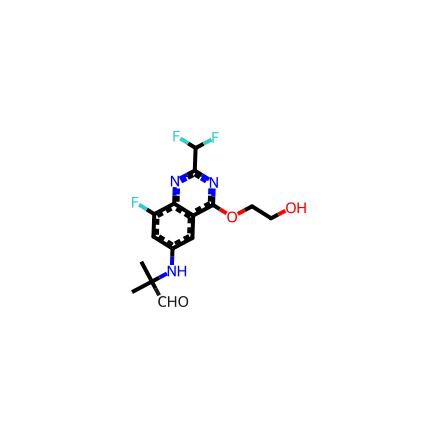 CC(C)(C=O)Nc1cc(F)c2nc(C(F)F)nc(OCCO)c2c1